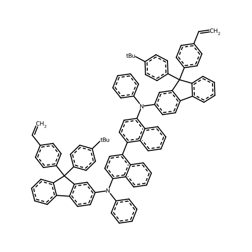 C=Cc1ccc(C2(c3ccc(C(C)(C)C)cc3)c3ccccc3-c3ccc(N(c4ccccc4)c4ccc(-c5ccc(N(c6ccccc6)c6ccc7c(c6)C(c6ccc(C=C)cc6)(c6ccc(C(C)(C)C)cc6)c6ccccc6-7)c6ccccc56)c5ccccc45)cc32)cc1